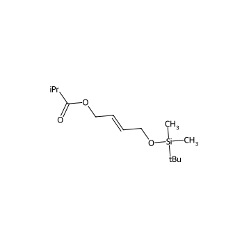 CC(C)C(=O)OCC=CCO[Si](C)(C)C(C)(C)C